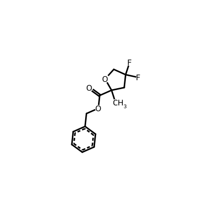 CC1(C(=O)OCc2ccccc2)CC(F)(F)CO1